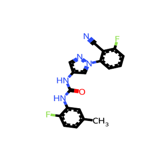 Cc1ccc(F)c(NC(=O)Nc2cnn(-c3cccc(F)c3C#N)c2)c1